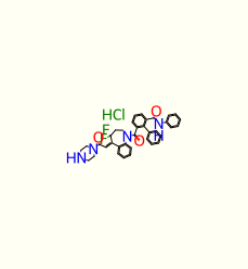 Cl.O=C(Nc1ccccc1)c1cccc(C(=O)N2CCC(F)(F)C(=CC(=O)N3CCNCC3)c3ccccc32)c1-c1ccccc1